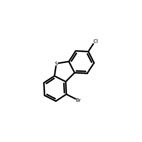 Clc1ccc2c(c1)sc1cccc(Br)c12